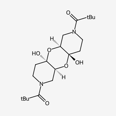 CC(C)(C)C(=O)N1CC[C@@]2(O)O[C@H]3CN(C(=O)C(C)(C)C)CC[C@]3(O)O[C@H]2C1